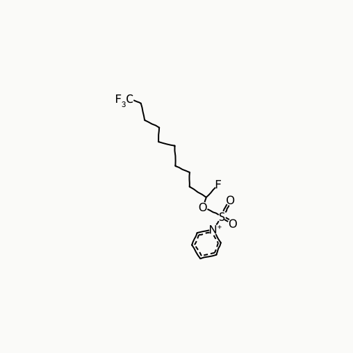 O=S(=O)(OC(F)CCCCCCCCC(F)(F)F)[n+]1ccccc1